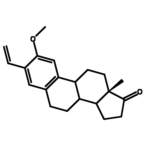 C=Cc1cc2c(cc1OC)C1CC[C@]3(C)C(=O)CCC3C1CC2